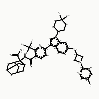 O=C(NC1(C(=O)O)C2CC3CC(C2)CC1C3)c1cnc(-c2cn(C3CCC(F)(F)CC3)c3cc(OC4CN(c5ncc(F)cn5)C4)ccc23)nc1C(F)(F)F